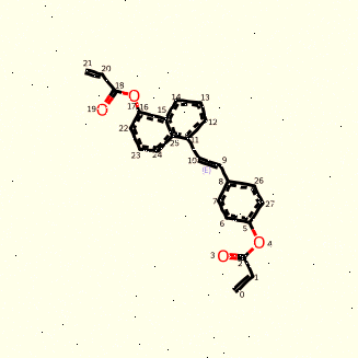 C=CC(=O)Oc1ccc(/C=C/c2cccc3c(OC(=O)C=C)cccc23)cc1